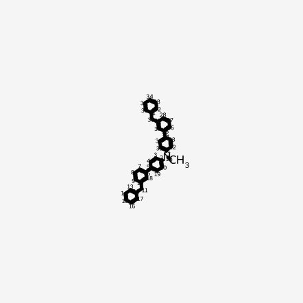 CN(c1ccc(-c2cccc(Cc3ccccc3)c2)cc1)c1ccc(-c2cccc(Cc3ccccc3)c2)cc1